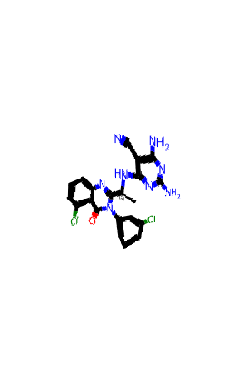 C[C@H](Nc1nc(N)nc(N)c1C#N)c1nc2cccc(Cl)c2c(=O)n1-c1cccc(Cl)c1